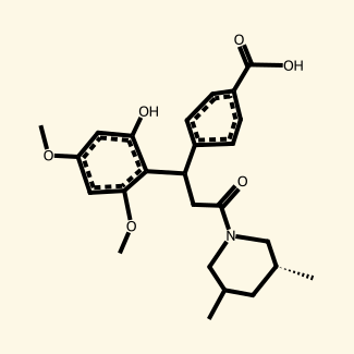 COc1cc(O)c(C(CC(=O)N2CC(C)C[C@@H](C)C2)c2ccc(C(=O)O)cc2)c(OC)c1